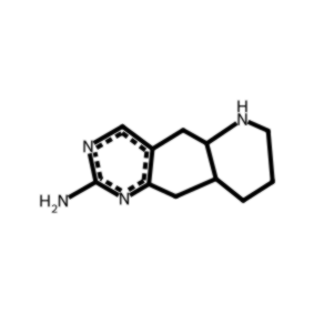 Nc1ncc2c(n1)CC1CCCNC1C2